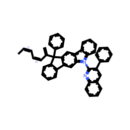 C=C(/C=C\C=C/C)C1(c2ccccc2)c2ccccc2-c2cc3c(cc21)c1ccccc1n3-c1nc2ccccc2cc1-c1ccccc1